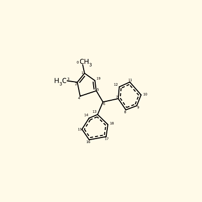 CC1=C(C)CC(C(c2ccccc2)c2ccccc2)=C1